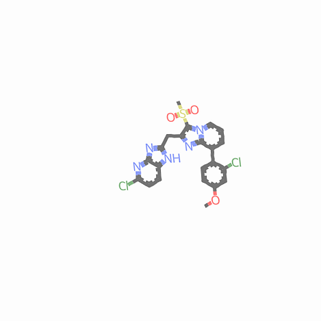 COc1ccc(-c2cccn3c(S(C)(=O)=O)c(Cc4nc5nc(Cl)ccc5[nH]4)nc23)c(Cl)c1